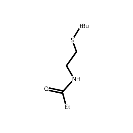 CCC(=O)NCCSC(C)(C)C